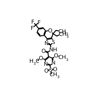 CCC1(CC)Oc2cc(C(F)(F)F)ccc2-c2nc(NC(=O)c3c(OC)nc(S(C)(=O)=O)nc3OC)sc21